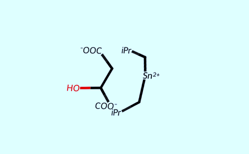 CC(C)[CH2][Sn+2][CH2]C(C)C.O=C([O-])CC(O)C(=O)[O-]